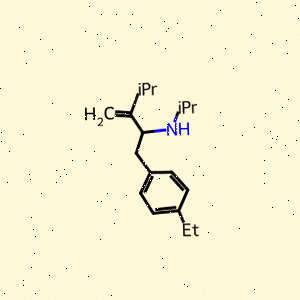 C=C(C(C)C)C(Cc1ccc(CC)cc1)NC(C)C